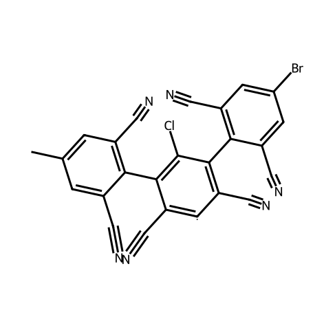 Cc1cc(C#N)c(-c2c(C#N)[c]c(C#N)c(-c3c(C#N)cc(Br)cc3C#N)c2Cl)c(C#N)c1